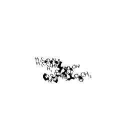 CC(=O)OCC1=C(OC(=O)O)N2C(=O)C(N(NC(=O)N3CCN(N=C4C=CCO4)C3=O)C(=O)C(=N)c3csc(=NC(=O)OC(C)(C)C)[nH]3)[C@@H]2SC1